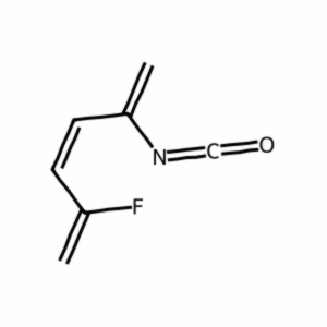 C=C(F)/C=C\C(=C)N=C=O